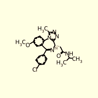 COc1ccc2c(c1)C(c1ccc(Cl)cc1)=N[C@@H](CC(=O)NC(C)C)c1nnc(C)n1-2